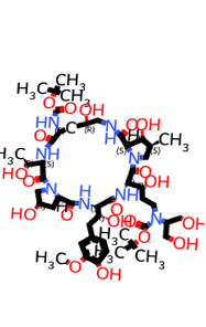 COc1cc(C[C@@H](O)[C@@H]2NC(=O)[C@@H]3C[C@@H](O)CN3C(=O)[C@H]([C@@H](C)O)NC(=O)[C@@H](NC(=O)OC(C)(C)C)C[C@@H](O)CNC(=O)[C@@H]3[C@@H](O)[C@@H](C)CN3C(=O)[C@H]([C@H](O)CCN(C(=O)OC(C)(C)C)C(CO)CO)NC2=O)ccc1O